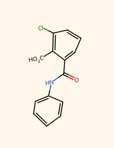 O=C(Nc1ccccc1)c1cccc(Cl)c1C(=O)O